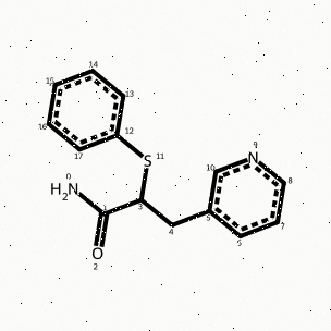 NC(=O)C(Cc1cccnc1)Sc1cc[c]cc1